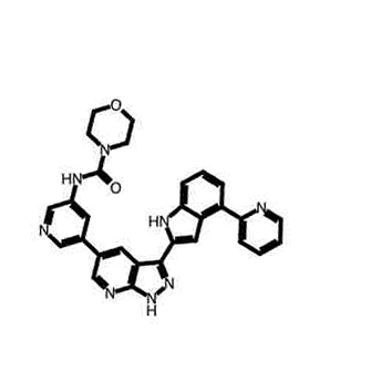 O=C(Nc1cncc(-c2cnc3[nH]nc(-c4cc5c(-c6ccccn6)cccc5[nH]4)c3c2)c1)N1CCOCC1